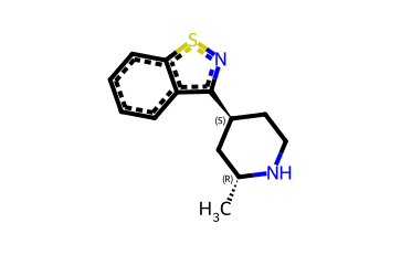 C[C@@H]1C[C@@H](c2nsc3ccccc23)CCN1